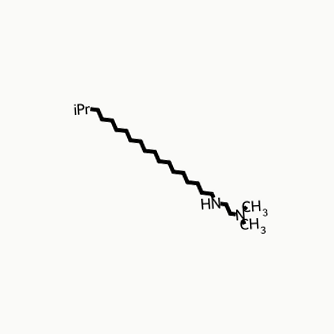 CC(C)CCCCCCCCCCCCCCCCCNCCN(C)C